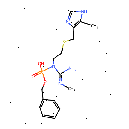 CN=C(N)N(CCSCc1nc[nH]c1C)P(=O)(O)OCc1ccccc1